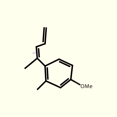 C=C/C=C(/C)c1ccc(OC)cc1C